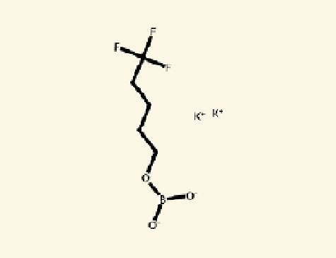 [K+].[K+].[O-]B([O-])OCCCCC(F)(F)F